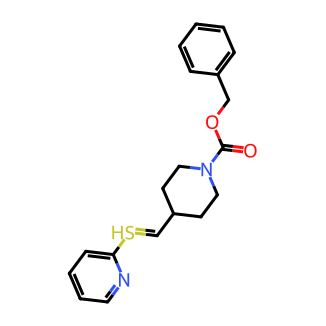 O=C(OCc1ccccc1)N1CCC(C=[SH]c2ccccn2)CC1